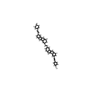 Cc1ccc(C#Cc2ccc3sc4c5cc(/C=C/c6ccc7sc8c9cc(C#Cc%10ccc(C)cc%10)ccc9sc8c7c6)ccc5sc4c3c2)cc1